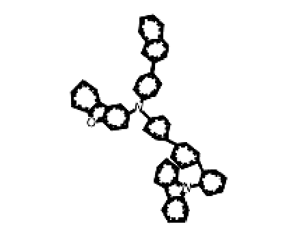 c1ccc(-n2c3ccccc3c3ccccc32)c(-c2ccc(-c3ccc(N(c4ccc(-c5ccc6ccccc6c5)cc4)c4ccc5oc6ccccc6c5c4)cc3)cc2)c1